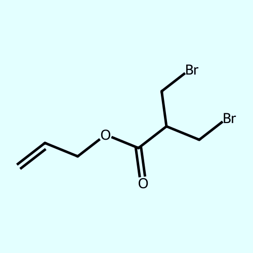 C=CCOC(=O)C(CBr)CBr